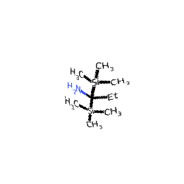 [CH2]CC(N)([Si](C)(C)C)[Si](C)(C)C